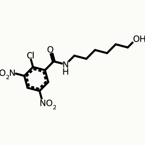 O=C(NCCCCCCO)c1cc([N+](=O)[O-])cc([N+](=O)[O-])c1Cl